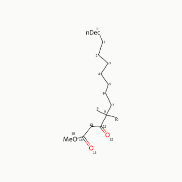 CCCCCCCCCCCCCCCCCC(C)(C)C(=O)CC(=O)OC